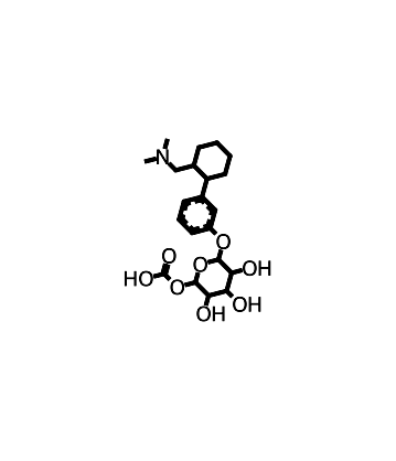 CN(C)CC1CCCCC1c1cccc(OC2OC(OC(=O)O)C(O)C(O)C2O)c1